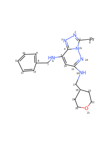 CC(C)c1nnc2c(NCc3ccccc3)cc(NCC3CCOCC3)nn12